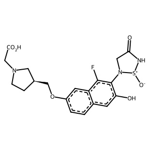 O=C(O)CN1CC[C@H](COc2ccc3cc(O)c(N4CC(=O)N[S+]4[O-])c(F)c3c2)C1